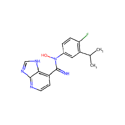 CC(C)c1cc(N(O)C(=N)c2ccnc3nc[nH]c23)ccc1F